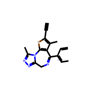 C#Cc1sc2c(c1C)C(/C(C=C)=C/C)=NCc1nnc(C)n1-2